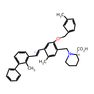 Cc1cccc(COc2cc(/C=C/c3cccc(-c4ccccc4)c3C)c(C)cc2CN2CCCC[C@H]2C(=O)O)c1